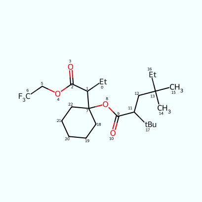 CCC(C(=O)OCC(F)(F)F)C1(OC(=O)C(CC(C)(C)CC)C(C)(C)C)CCCCC1